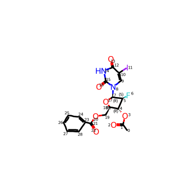 CC(=O)O[C@H]1[C@H](F)[C@H](n2cc(I)c(=O)[nH]c2=O)O[C@@H]1COC(=O)c1ccccc1